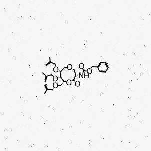 C=C(C)COC[C@H]1OC(=O)[C@@H](NC(=O)OCc2ccccc2)COC[C@H](OCC(=C)C)[C@H]1OCC(=C)C